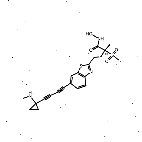 CNC1(C#CC#Cc2ccc3nc(CC[C@](C)(C(=O)NO)S(C)(=O)=O)sc3c2)CC1